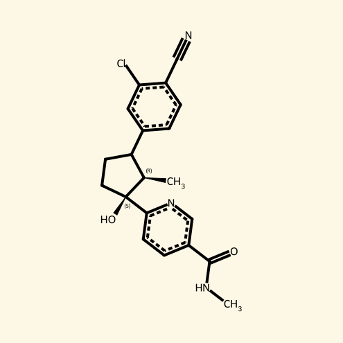 CNC(=O)c1ccc([C@]2(O)CCC(c3ccc(C#N)c(Cl)c3)[C@H]2C)nc1